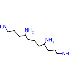 NCCCC(N)CCCC(N)CCCN